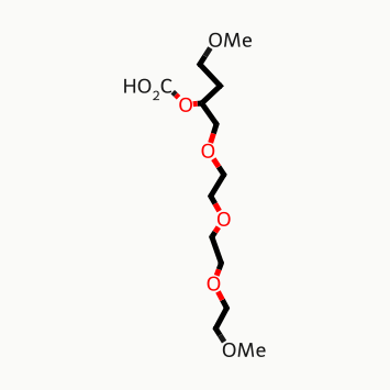 COCCOCCOCCOCC(CCOC)OC(=O)O